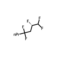 [CH2]CCC(F)(F)C[C@H](F)C(F)F